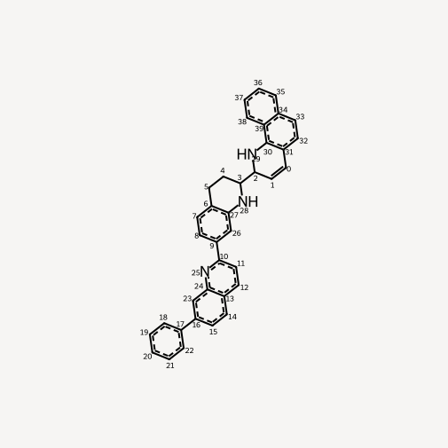 C1=CC(C2CCc3ccc(-c4ccc5ccc(-c6ccccc6)cc5n4)cc3N2)Nc2c1ccc1ccccc21